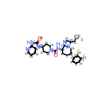 O=C(N[C@@H]1CC[C@@H](c2cccc(F)c2F)CN2C1=NCC2CC(F)(F)F)N1CCC(n2c(=O)[nH]c3ncccc32)CC1